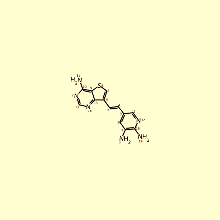 Nc1cc(C=Cc2csc3c(N)ncnc23)cnc1N